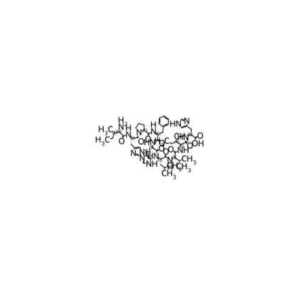 CC[C@H](C)[C@H](N)C(=O)N[C@@H](Cc1c[nH]cn1)C(=O)N1CCC[C@H]1C(=O)N[C@@H](Cc1ccccc1)C(=O)N[C@@H](Cc1c[nH]cn1)C(=O)N[C@@H](CC(C)C)C(=O)N[C@H](C(=O)N[C@H](C(=O)N[C@@H](Cc1c[nH]cn1)C(=O)O)[C@@H](C)CC)C(C)C